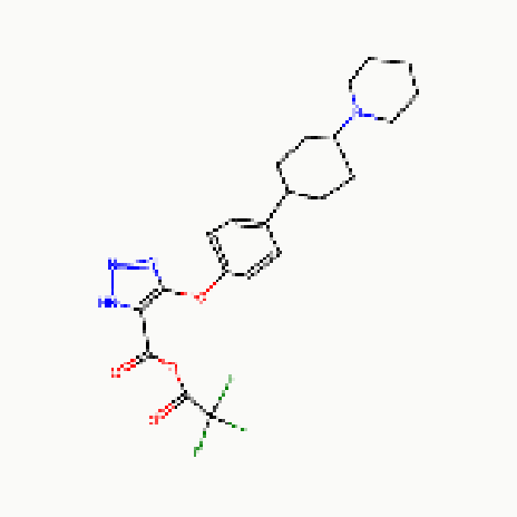 O=C(OC(=O)C(F)(F)F)c1[nH]nnc1Oc1ccc(C2CCC(N3CCCCC3)CC2)cc1